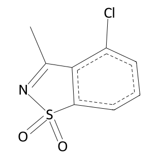 CC1=NS(=O)(=O)c2cccc(Cl)c21